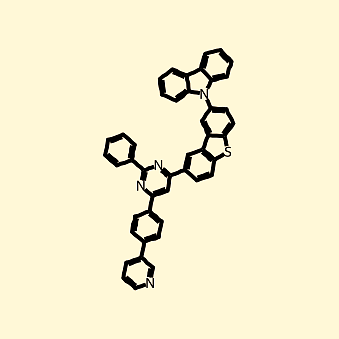 c1ccc(-c2nc(-c3ccc(-c4cccnc4)cc3)cc(-c3ccc4sc5ccc(-n6c7ccccc7c7ccccc76)cc5c4c3)n2)cc1